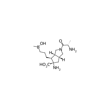 CB(O)CCC[C@H]1[C@@H]2CN(C(=O)[C@H](C)N)C[C@@H]2C[C@@]1(N)C(=O)O